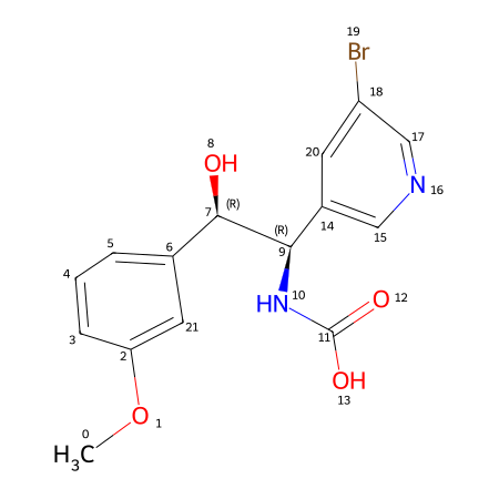 COc1cccc([C@@H](O)[C@H](NC(=O)O)c2cncc(Br)c2)c1